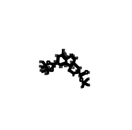 CC(C)(C)OC(=O)N1CCc2c(cnc3c(F)cc(B4OC(C)(C)C(C)(C)O4)cc23)C1